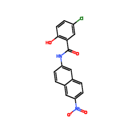 O=C(Nc1ccc2cc([N+](=O)[O-])ccc2c1)c1cc(Cl)ccc1O